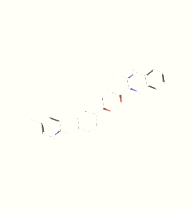 C[C@H](NC(=O)c1nc2ccccc2nc1O)C(=O)N1CCC(Oc2ccc(Cl)cn2)CC1